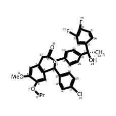 COc1cc2c(cc1OC(C)C)C(c1ccc(Cl)cc1)N(c1ccc([C@](C)(O)c3ccc(F)c(F)c3)cc1)C(=O)C2